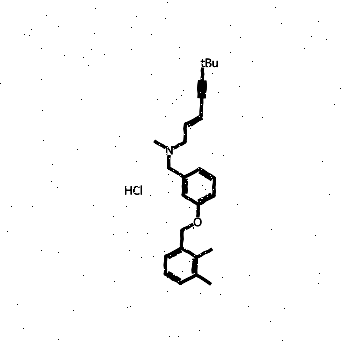 Cc1cccc(COc2cccc(CN(C)CC=CC#CC(C)(C)C)c2)c1C.Cl